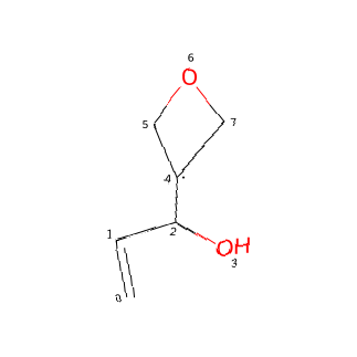 C=CC(O)[C]1COC1